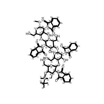 CO[C@H]1OC(CO)[C@H](OC2OC(CO)C(O[C@H]3OC(CO)[C@H](OC4OC(CO)C(O[Si](C)(C)C(C)(C)C)[C@H](C)[C@@H]4N4C(=O)c5ccccc5C4=O)C(O)[C@H]3N3C(=O)c4ccccc4C3=O)[C@H](O)[C@@H]2N2C(=O)c3ccccc3C2=O)C(O)[C@H]1N1C(=O)c2ccccc2C1=O